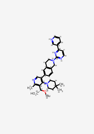 Cc1ncc(-c2ccc3c(c2)CCN(c2nccc(-c4cccnc4)n2)C3)c(N2CCC(C)(C)CC2)c1[C@H](OC(C)(C)C)C(=O)O